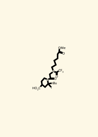 CCCCC1(I)CC(C(=O)O)CCN1C(=O)CN(CCCCCC(=O)OC)C(=O)C(F)(F)F